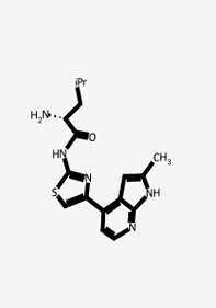 Cc1cc2c(-c3csc(NC(=O)[C@H](N)CC(C)C)n3)ccnc2[nH]1